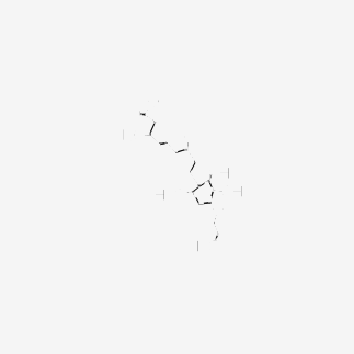 C=CCOc1cc(C)c(C=CC(C)=CC=CC(C)=CC(=O)O)c(C)c1C